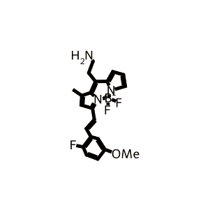 COc1ccc(F)c(/C=C/C2=[N+]3C(=C(CCN)c4cccn4[B-]3(F)F)C(C)=C2)c1